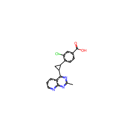 Cc1nc(C2CC2c2ccc(C(=O)O)cc2Cl)c2cccnc2n1